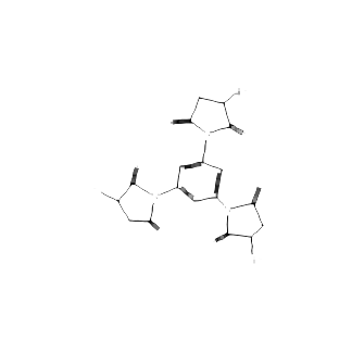 CC(C)C1CC(=O)N(c2cc(N3C(=O)CC(C(C)C)C3=O)cc(N3C(=O)CC(C(C)C)C3=O)c2)C1=O